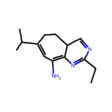 CCC1=NC2=C(N)C=C(C(C)C)CCC2C=N1